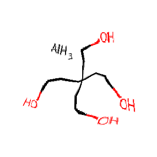 OCC(CO)(CO)CO.[AlH3]